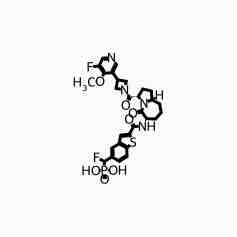 COc1c(F)cncc1C1CN(C(=O)[C@@H]2CC[C@@H]3CCC[C@H](NC(=O)c4cc5cc(C(F)P(=O)(O)O)ccc5s4)C(=O)N32)C1